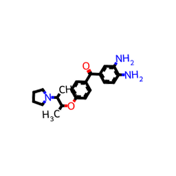 CC(Oc1ccc(C(=O)c2ccc(N)c(N)c2)cc1)C(C)N1CCCC1